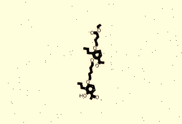 CCCc1c(OCCCCCOc2c(C(C)=O)ccc(OCCCC(=O)OCC)c2CCC)ccc(C(C)=O)c1O